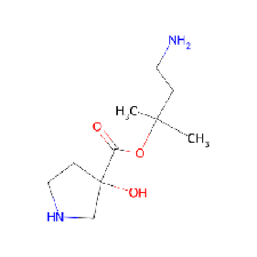 CC(C)(CCN)OC(=O)C1(O)CCNC1